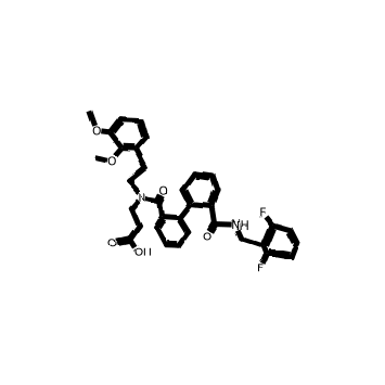 COc1cccc(CCN(CCC(=O)O)C(=O)c2ccccc2-c2ccccc2C(=O)NCc2c(F)cccc2F)c1OC